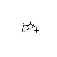 CC1=C2C(N)=NC(N)N=C2SC1(C)CC(F)(F)F.Cl